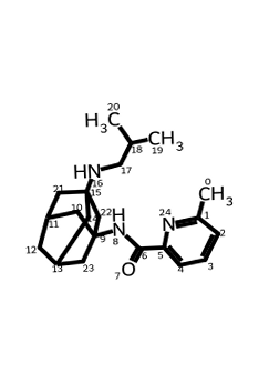 Cc1cccc(C(=O)NC23CC4CC(CC(NCC(C)C)(C4)C2)C3)n1